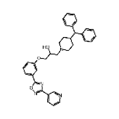 OC(COc1cccc(-c2nc(-c3cccnc3)no2)c1)CN1CCC(C(c2ccccc2)c2ccccc2)CC1